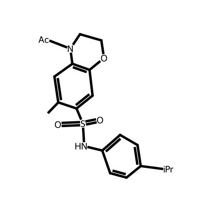 CC(=O)N1CCOc2cc(S(=O)(=O)Nc3ccc(C(C)C)cc3)c(C)cc21